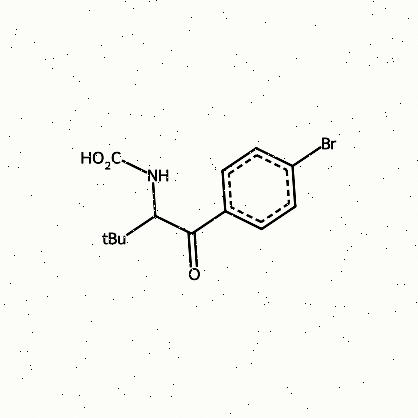 CC(C)(C)C(NC(=O)O)C(=O)c1ccc(Br)cc1